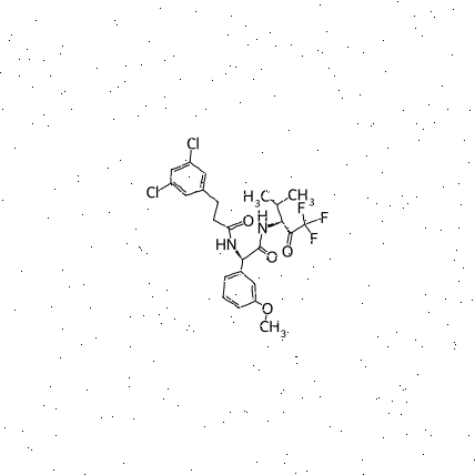 COc1cccc([C@@H](NC(=O)CCc2cc(Cl)cc(Cl)c2)C(=O)N[C@H](C(=O)C(F)(F)F)C(C)C)c1